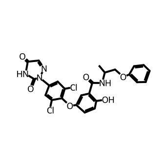 CC(COc1ccccc1)NC(=O)c1cc(Oc2c(Cl)cc(-n3ncc(=O)[nH]c3=O)cc2Cl)ccc1O